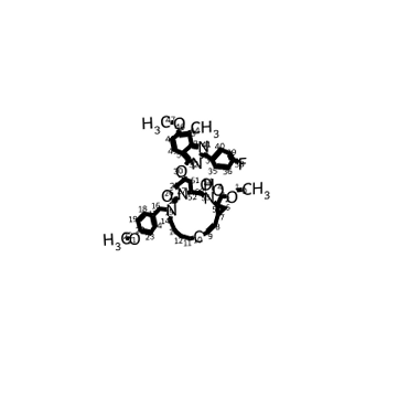 CCOC(=O)C12CC1C=CCCCCCN(Cc1ccc(OC)cc1)C(=O)N1CC(Oc3nc(-c4ccc(F)cc4)nc4c(C)c(OC)ccc34)CC1C(=O)N2